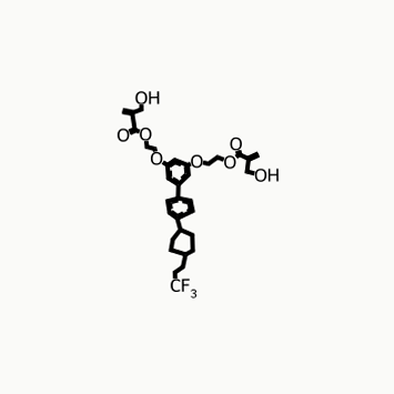 C=C(CO)C(=O)OCCOc1cc(OCCOC(=O)C(=C)CO)cc(-c2ccc(C3CCC(CCC(F)(F)F)CC3)cc2)c1